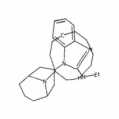 CCNc1nc2ccccc2n1C1CC2CCCC(C1)N2C1CCCCCCCCC1